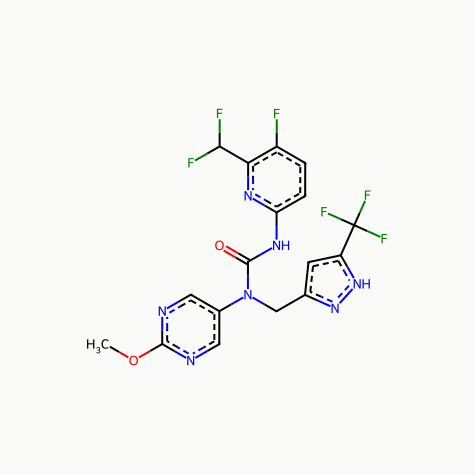 COc1ncc(N(Cc2cc(C(F)(F)F)[nH]n2)C(=O)Nc2ccc(F)c(C(F)F)n2)cn1